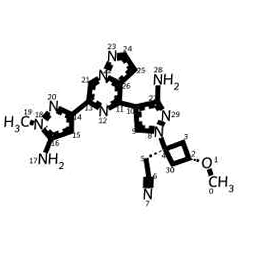 CO[C@H]1C[C@](CC#N)(n2cc(-c3nc(-c4cc(N)n(C)n4)cn4nccc34)c(N)n2)C1